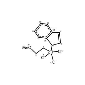 COC[CH2][Ti]([Cl])([Cl])([Cl])[CH]1C=Cc2ccccc21